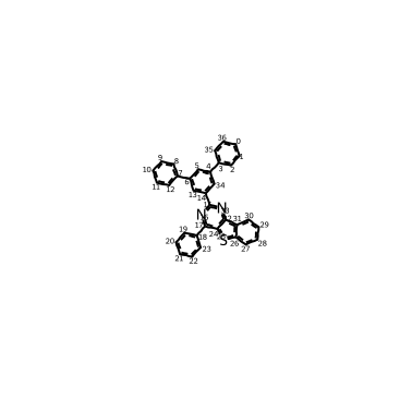 c1ccc(-c2cc(-c3ccccc3)cc(-c3nc(-c4ccccc4)c4sc5ccccc5c4n3)c2)cc1